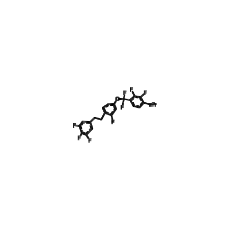 CCCc1ccc(C(F)(F)Oc2ccc(CCc3cc(F)c(F)c(F)c3)c(F)c2)c(F)c1F